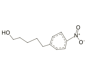 O=[N+]([O-])c1ccc(CCCCCO)cc1